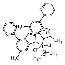 CC1=Cc2c(-c3ccccn3)cc(C)cc2[CH]1[Zr]([Cl])([Cl])([CH]1C(C)=Cc2c(-c3ccccn3)cc(C)cc21)[SiH](C)C